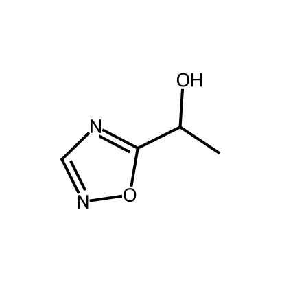 CC(O)c1ncno1